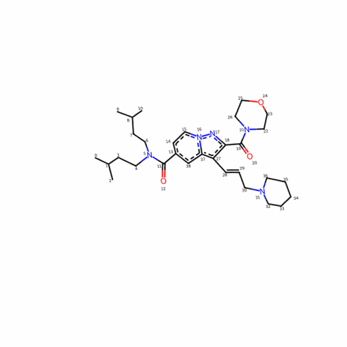 CC(C)CCN(CCC(C)C)C(=O)c1ccn2nc(C(=O)N3CCOCC3)c(/C=C/CN3CCCCC3)c2c1